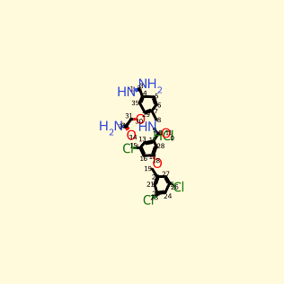 Cl.N=C(N)c1ccc(CNC(=O)c2cc(Cl)cc(OCc3cc(Cl)cc(Cl)c3)c2)c(OCC(N)=O)c1